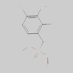 CCOP(=O)(Cc1ccc([N+](=O)[O-])c(OC)c1Cl)OCC